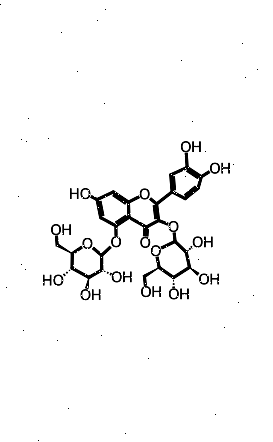 O=c1c(OC2O[C@H](CO)[C@@H](O)[C@H](O)[C@H]2O)c(-c2ccc(O)c(O)c2)oc2cc(O)cc(OC3O[C@H](CO)[C@@H](O)[C@H](O)[C@H]3O)c12